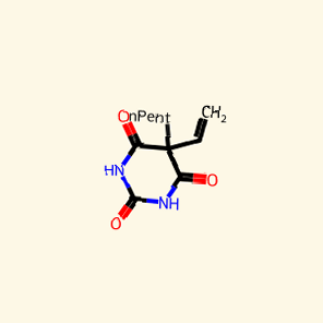 C=CC1(CCCCC)C(=O)NC(=O)NC1=O